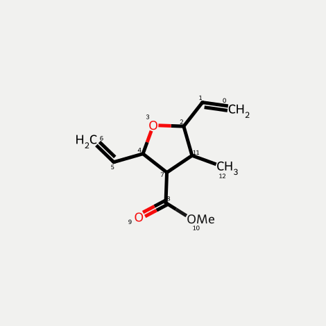 C=CC1OC(C=C)C(C(=O)OC)C1C